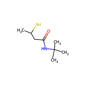 CC(S)CC(=O)NC(C)(C)C